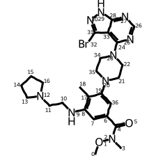 CON(C)C(=O)c1cc(NCCN2CCCC2)c(C)c(N2CCN(c3ncnc4[nH]nc(Br)c34)CC2)c1